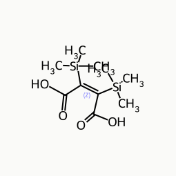 C[Si](C)(C)/C(C(=O)O)=C(/C(=O)O)[Si](C)(C)C